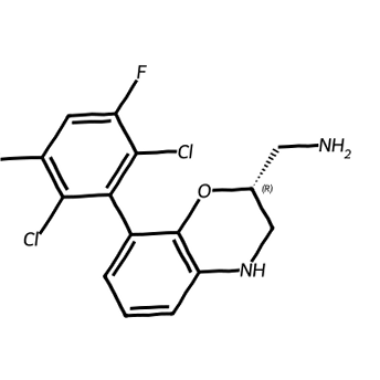 NC[C@@H]1CNc2cccc(-c3c(Cl)c(F)cc(F)c3Cl)c2O1